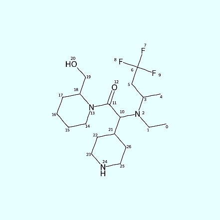 CCN(C(C)CC(F)(F)F)C(C(=O)N1CCCCC1CO)C1CCNCC1